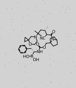 C[C@@H](CC(C)(C)N1CCOC2(CC2)C1)C(C#N)C(=O)N1C2CCC1(COC(=O)N[C@@H](Cc1ccccc1)B(O)O)CC2